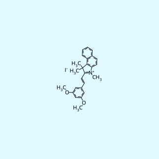 COc1cc(C=CC2=[N+](C)c3ccc4ccccc4c3C2(C)C)cc(OC)c1.[I-]